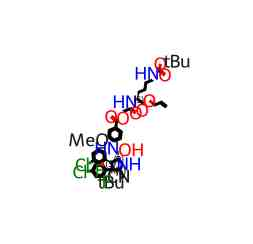 C=CCOC(=O)[C@H](CCCCNC(=O)OC(C)(C)C)NC(=O)COC(=O)c1ccc(NC(O)[C@@H]2N[C@@H](CC(C)(C)C)[C@](C#N)(c3ccc(Cl)cc3F)[C@H]2c2cccc(Cl)c2F)c(OC)c1